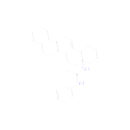 O=C(Nc1ccccc1)NC12CCCCC1C1=CCC3C4CCCCC4CCC3C1CC2